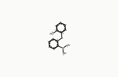 CCCN(CCC)c1ccccc1Cc1ccccc1O